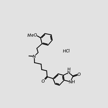 COc1ccccc1CCN(C)CCCCC(=O)c1ccc2[nH]c(=O)[nH]c2c1.Cl